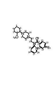 COC1CCCCC1N1CCN(CCN(C(=O)c2ccc([18F])cc2)c2ccccn2)CC1